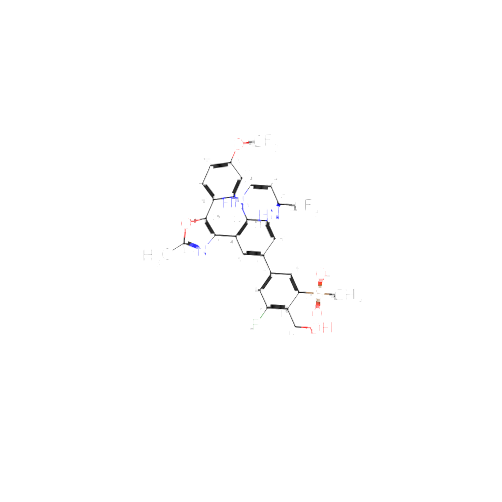 Cc1nc(-c2cc(-c3cc(F)c(CO)c(S(C)(=O)=O)c3)ccc2N/C=C\C(=N)C(F)(F)F)c(-c2ccc(OC(F)(F)F)cc2)o1